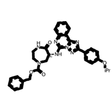 CC(C)Oc1ccc(-c2nc3c4ccccc4nc(N[C@@H]4CN(C(=O)OCc5ccccc5)CCNC4=O)n3n2)cc1